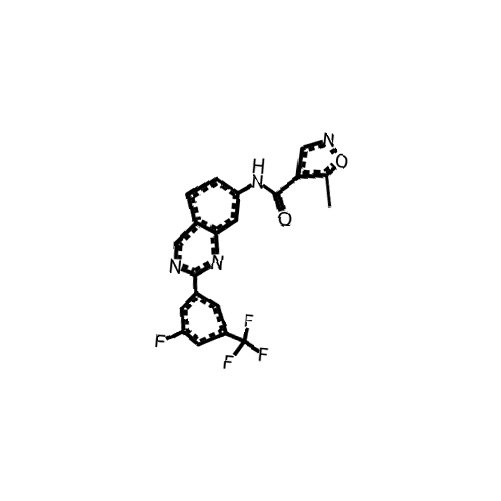 Cc1oncc1C(=O)Nc1ccc2cnc(-c3cc(F)cc(C(F)(F)F)c3)nc2c1